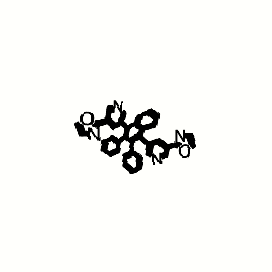 c1ccc(-c2c(-c3ccccc3)c(-c3cncc(-c4ncco4)c3)c3ccccc3c2-c2cncc(-c3ncco3)c2)cc1